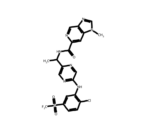 CC(NC(=O)c1cc2c(cn1)ncn2C)c1cnc(Nc2cc(S(=O)(=O)C(F)(F)F)ccc2Cl)cn1